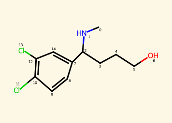 CNC(CCCO)c1ccc(Cl)c(Cl)c1